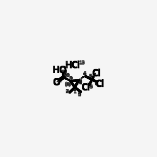 CC1(C)[C@@H](CC(Cl)(Cl)Cl)[C@@H]1C(=O)O.Cl